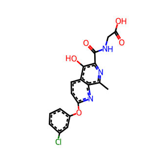 Cc1nc(C(=O)NCC(=O)O)c(O)c2ccc(Oc3cccc(Cl)c3)nc12